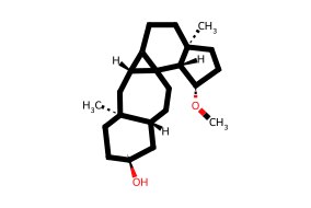 CO[C@H]1CC[C@]2(C)CCC3[C@H]4C[C@]5(C)CC[C@H](O)C[C@H]5CCC34[C@@H]12